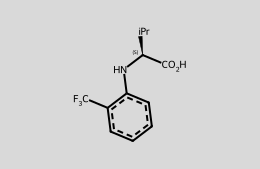 CC(C)[C@H](Nc1ccccc1C(F)(F)F)C(=O)O